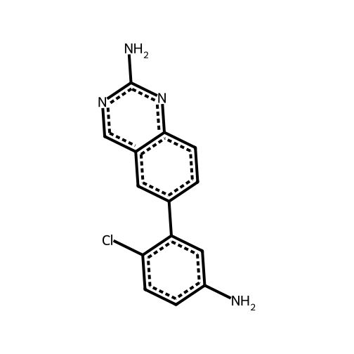 Nc1ccc(Cl)c(-c2ccc3nc(N)ncc3c2)c1